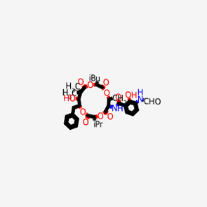 CCC(C)C1OC(=O)C(C)(C)C(O)C(Cc2ccccc2)OC(=O)C(C(C)C)OC(=O)C(NC(=O)c2cccc(NC=O)c2O)C(C)OC1=O